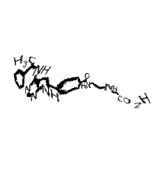 CC(Nc1ncnc2[nH]c(-c3ccc(C(=O)NCCNCCC(=O)O)cc3)cc12)c1ccccc1